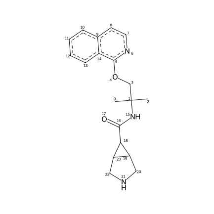 CC(C)(COc1nccc2ccccc12)NC(=O)C1C2CNCC21